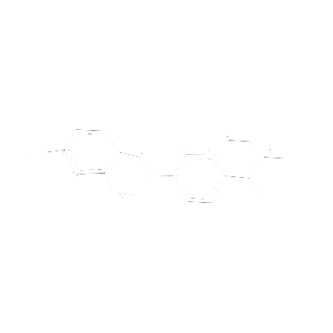 COc1nc(C(F)(F)F)ccc1COc1ccc2c(c1)CCC(C=O)=C2C